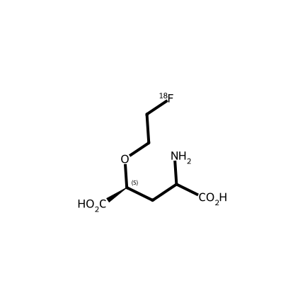 NC(C[C@H](OCC[18F])C(=O)O)C(=O)O